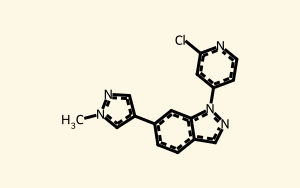 Cn1cc(-c2ccc3cnn(-c4ccnc(Cl)c4)c3c2)cn1